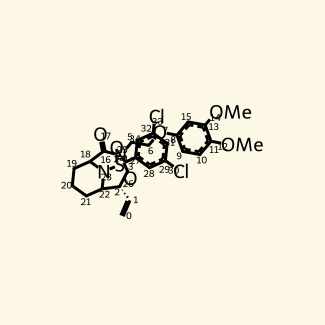 C=C[C@H]1CN(CCOc2ccc(OC)c(OC)c2)C(=O)C2CCCC1N2S(=O)(=O)c1cc(Cl)cc(Cl)c1